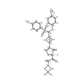 CC1(C)CC(NC(=O)[C@@]2(C)CN=C(C34CC(N(Cc5ccc(C(F)(F)F)cc5)S(=O)(=O)c5ccc(F)cc5)(C3)C4)N2)C1